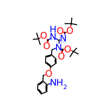 CC(C)(C)OC(=O)/N=C(\NC(=O)OC(C)(C)C)N(Cc1ccc(OCc2ccccc2N)cc1)C(=O)OC(C)(C)C